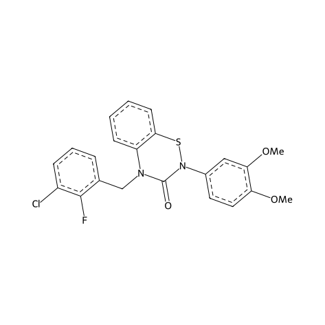 COc1ccc(N2Sc3ccccc3N(Cc3cccc(Cl)c3F)C2=O)cc1OC